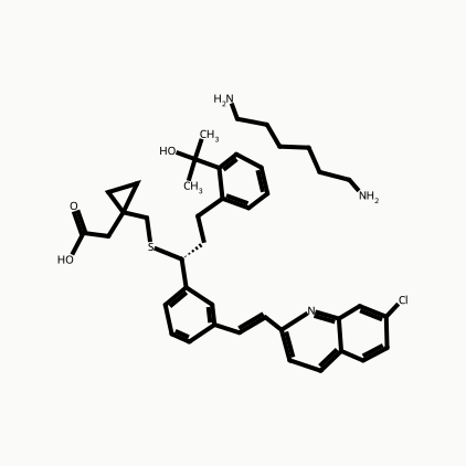 CC(C)(O)c1ccccc1CC[C@@H](SCC1(CC(=O)O)CC1)c1cccc(/C=C/c2ccc3ccc(Cl)cc3n2)c1.NCCCCCCN